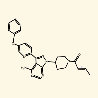 C/C=C/C(=O)N1CCC(n2nc(-c3ccc(Oc4ccccc4)cn3)c3c(N)ncnc32)CC1